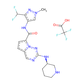 Cn1cc(NC(=O)c2ccc3cnc(N[C@@H]4CCCNC4)nn23)c(C(F)F)n1.O=C(O)C(F)(F)F